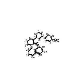 Brc1ccc(-c2cccc(-c3cccc4c3Sc3cccc5cccc-4c35)c2)cc1